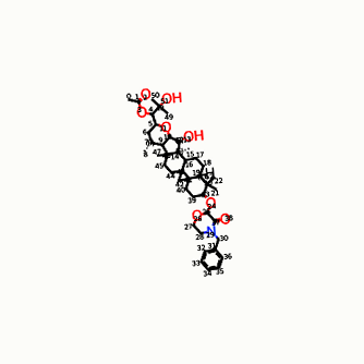 CC(=O)OC(C1C[C@@H](C)C2C(O1)[C@H](O)[C@@]1(C)C3CC[C@H]4C(C)(C)C(OC5OCCN(Cc6ccccc6)C5=O)CCC45CC35CCC21C)C(C)(C)O